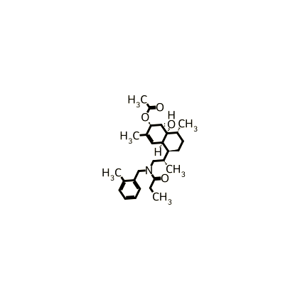 CCC(=O)N(Cc1ccccc1C)C[C@@H](C)[C@@H]1CC[C@@H](C)[C@]2(O)[C][C@@H](OC(C)=O)C(C)=C[C@H]12